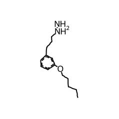 CCCCCOc1cccc(CCCNN)c1